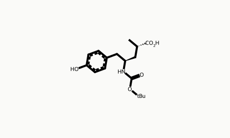 C[C@@H](C[C@H](Cc1ccc(O)cc1)NC(=O)OC(C)(C)C)C(=O)O